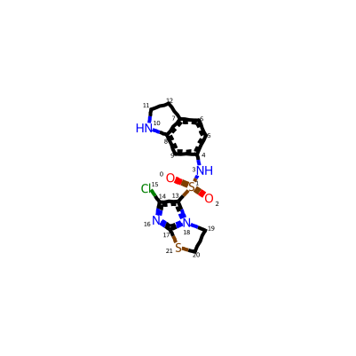 O=S(=O)(Nc1ccc2c(c1)NCC2)c1c(Cl)nc2n1CCS2